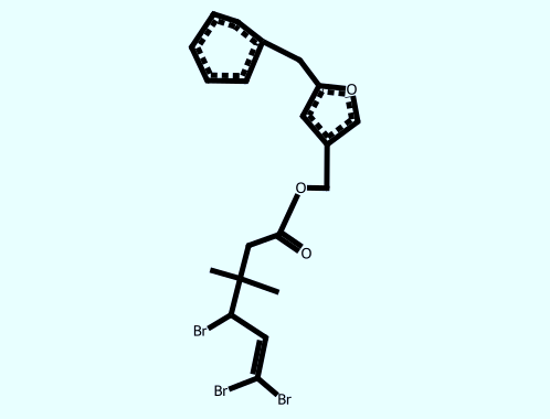 CC(C)(CC(=O)OCc1coc(Cc2ccccc2)c1)C(Br)C=C(Br)Br